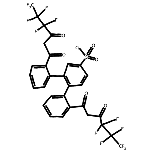 O=C(CC(=O)C(F)(F)C(F)(F)C(F)(F)F)c1ccccc1-c1ccc(S(=O)(=O)Cl)cc1-c1ccccc1C(=O)CC(=O)C(F)(F)C(F)(F)C(F)(F)F